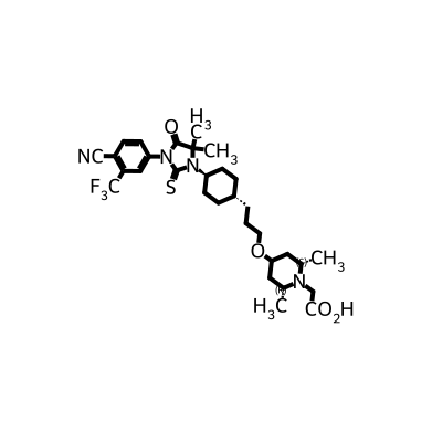 C[C@@H]1CC(OCCC[C@H]2CC[C@H](N3C(=S)N(c4ccc(C#N)c(C(F)(F)F)c4)C(=O)C3(C)C)CC2)C[C@H](C)N1CC(=O)O